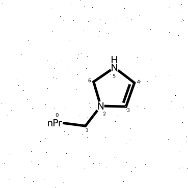 CCCCN1C=CNC1